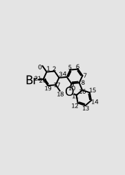 CC1CC(c2cccc3c2OC2C=CC=CC32)C(C)C=C1Br